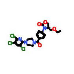 CCOC[C@@H]1COC(=O)N1c1ccc(C(=O)N2CCN(c3nc(Cl)c(Cl)cc3Cl)CC2)cc1